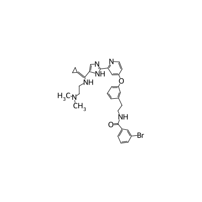 CN(C)CCNC(=C1CC1)c1cnc(-c2cc(Oc3cccc(CCNC(=O)c4cccc(Br)c4)c3)ccn2)[nH]1